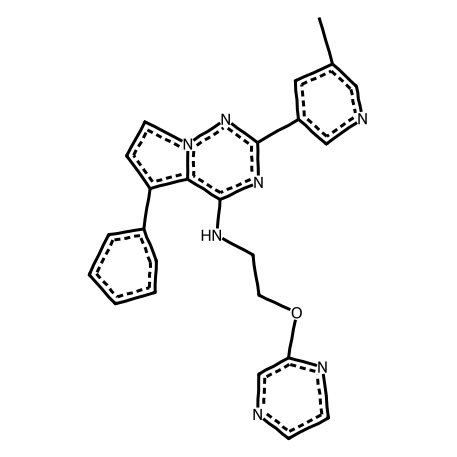 Cc1cncc(-c2nc(NCCOc3cnccn3)c3c(-c4ccccc4)ccn3n2)c1